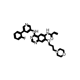 C=CC(=O)Nc1cc2c(Nc3cncc(-c4ccccc4F)c3)ncnc2cc1OCCCN1CCOCC1